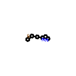 c1cnc2c(c1)ccc1cc(-c3ccc(-c4ccc5sc6ccccc6c5c4)cc3)cnc12